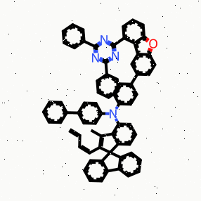 C=C/C=C\C1=C(C)c2c(N(c3ccc(-c4ccccc4)cc3)c3ccc(-c4ccc5oc6cccc(-c7nc(-c8ccccc8)nc(-c8ccccc8)n7)c6c5c4)cc3)cccc2C12c1ccccc1-c1ccccc12